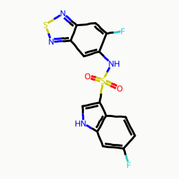 O=S(=O)(Nc1cc2nsnc2cc1F)c1c[nH]c2cc(F)ccc12